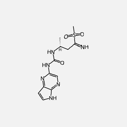 C[C@H](CC(=N)S(C)(=O)=O)NC(=O)Nc1cnc2[nH]ccc2n1